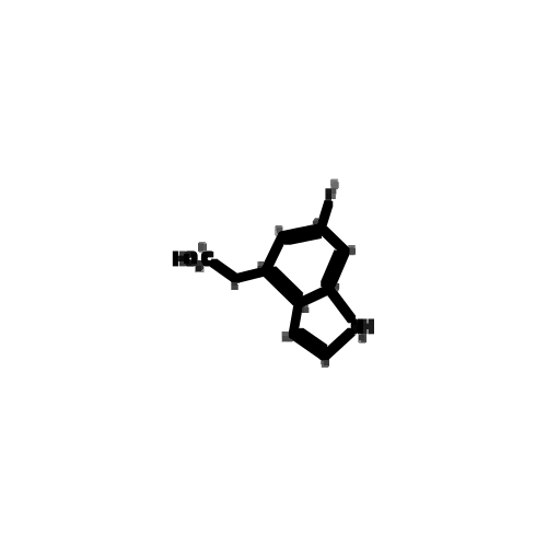 O=C(O)Cc1cc(F)cc2[nH]ccc12